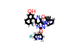 CCc1cccc2cc(O)cc(-c3cc4nc(OC[C@]56CCCN5C[C@H](F)C6)nc5c4c(n3)OC[C@H]3[C@@H]4CCC(CN53)N4)c12